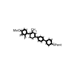 CCCCCc1ccc(-c2ccc(C3=CC(C)=C(c4ccc(OC)c(F)c4F)CC3)cc2)cc1